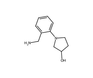 NCc1ccccc1N1CCC(O)C1